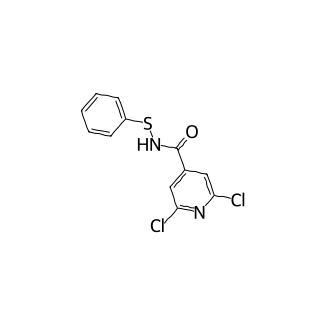 O=C(NSc1ccccc1)c1cc(Cl)nc(Cl)c1